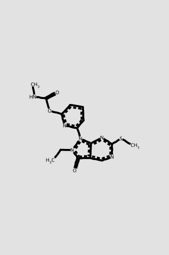 CCn1c(=O)c2cnc(SC)nc2n1-c1cccc(OC(=O)NC)n1